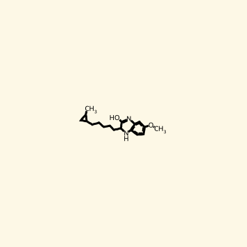 COc1ccc2c(c1)N=C(O)C(CCCCCC1CC1C)N2